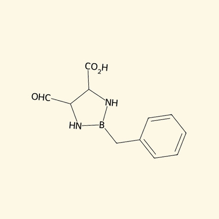 O=CC1NB(Cc2ccccc2)NC1C(=O)O